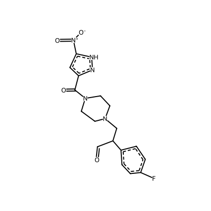 O=CC(CN1CCN(C(=O)c2cc([N+](=O)[O-])[nH]n2)CC1)c1ccc(F)cc1